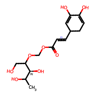 CC(O)[C@H](O)C(CO)OCOC(=O)/C=C/C1C=C(O)C(O)=CC1